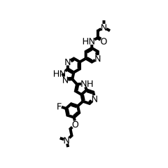 CN(C)CCOc1cc(F)cc(-c2cncc3[nH]c(-c4n[nH]c5ncc(-c6cncc(NC(=O)CN(C)C)c6)cc45)cc23)c1